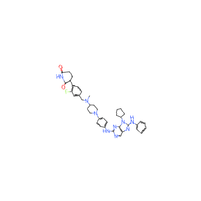 CN(Cc1ccc(C2CCC(=O)NC2=O)c(F)c1)C1CCN(c2ccc(Nc3ncc4nc(Nc5ccccc5)n(C5CCCC5)c4n3)cc2)CC1